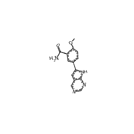 COc1ccc(-c2cc3cncnc3[nH]2)cc1C(N)=O